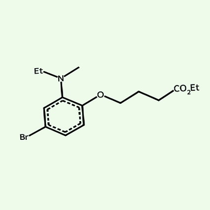 CCOC(=O)CCCOc1ccc(Br)cc1N(C)CC